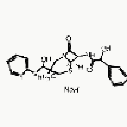 O=C(NC1C(=O)N2CC(C(=O)O)(C(O)Sc3ccccn3)CS[C@H]12)C(O)c1ccccc1.[NaH]